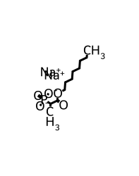 CCCCCCCCOC(=O)C(C)P(=O)([O-])[O-].[Na+].[Na+]